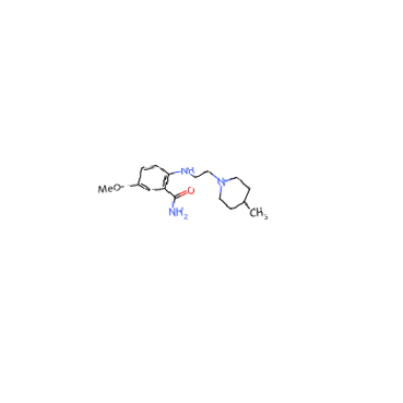 COc1ccc(NCCN2CCC(C)CC2)c(C(N)=O)c1